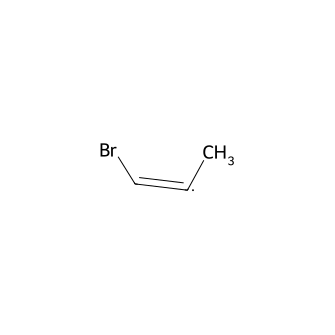 C/[C]=C\Br